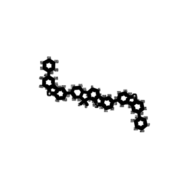 CC1(C)c2c(ccc3c2sc2ccc(-c4ccc5oc6ccc(-c7ccccc7)cc6c5c4)cc23)C2C=CC(c3ccc4oc5ccc(-c6ccccc6)cc5c4c3)=CC21